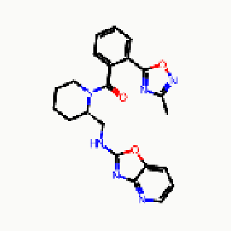 Cc1noc(-c2ccccc2C(=O)N2CCCC[C@@H]2CNc2nc3ncccc3o2)n1